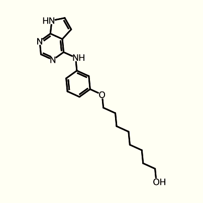 OCCCCCCCCOc1cccc(Nc2ncnc3[nH]ccc23)c1